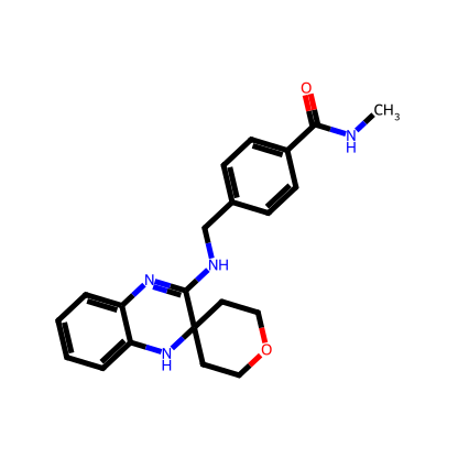 CNC(=O)c1ccc(CNC2=Nc3ccccc3NC23CCOCC3)cc1